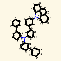 c1ccc(-c2cccc(N(c3cccc(-c4ccccc4)c3)c3cccc(-c4cccc(-n5c6cccc7ccc8cccc5c8c76)c4)c3)c2)cc1